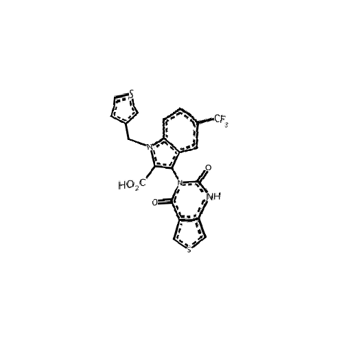 O=C(O)c1c(-n2c(=O)[nH]c3cscc3c2=O)c2cc(C(F)(F)F)ccc2n1Cc1ccsc1